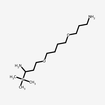 C[Si](C)(C)C(N)CCOCCCCOCCCN